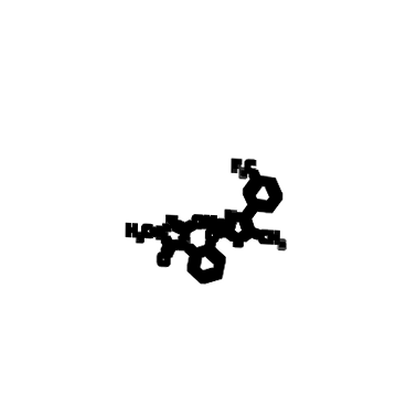 COc1nn(C)c(=O)n1-c1ccccc1Oc1nc(-c2cccc(C(F)(F)F)c2)c(C)s1